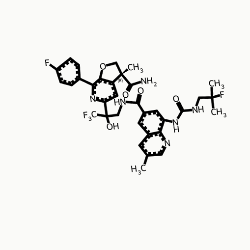 Cc1cnc2c(NC(=O)NCC(C)(C)F)cc(C(=O)NCC(O)(c3cc4c(c(-c5ccc(F)cc5)n3)OC[C@]4(C)C(N)=O)C(F)(F)F)cc2c1